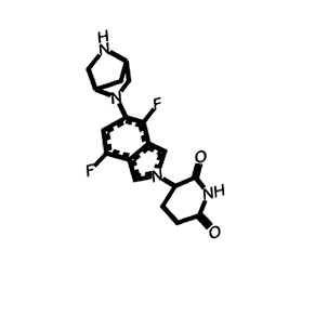 O=C1CCC(n2cc3c(F)cc(N4CC5CC4CN5)c(F)c3c2)C(=O)N1